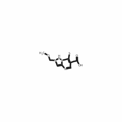 COCN1C=C2N=CC(C(=O)O)=C([S])N2N1